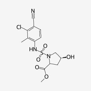 COC(=O)C1C[C@H](O)CN1S(=O)(=O)Nc1ccc(C#N)c(Cl)c1C